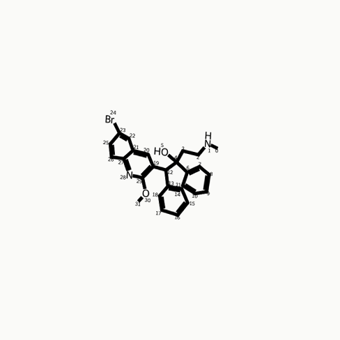 CNCCC(O)(c1ccccc1)C(c1ccccc1)c1cc2cc(Br)ccc2nc1OC